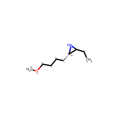 CCC1N[C@H]1CCCCOC